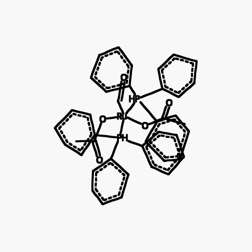 CC(=O)[O][Ru]([CH]=O)([O]C(C)=O)([PH](c1ccccc1)(c1ccccc1)c1ccccc1)[PH](c1ccccc1)(c1ccccc1)c1ccccc1